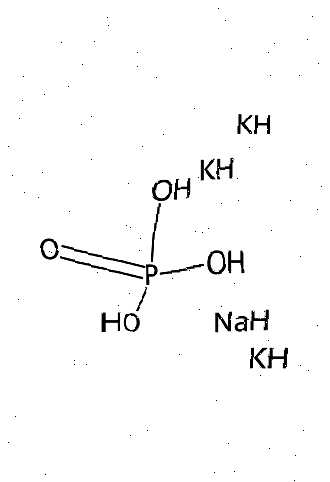 O=P(O)(O)O.[KH].[KH].[KH].[NaH]